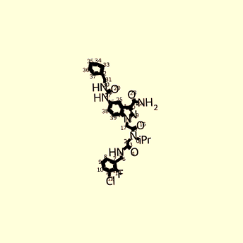 CC(C)N(CC(=O)NCc1cccc(Cl)c1F)C(=O)Cn1nc(C(N)=O)c2cc(NC(=O)NCc3ccccc3)ccc21